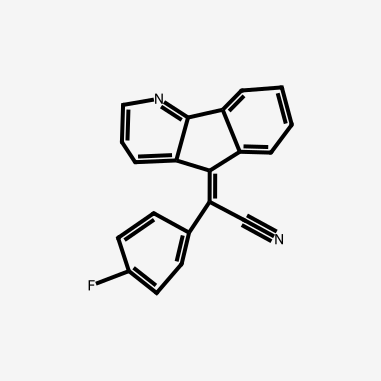 N#C/C(=C1\c2ccccc2-c2ncccc21)c1ccc(F)cc1